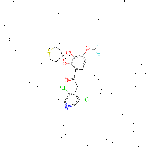 O=C(Cc1c(Cl)cncc1Cl)c1ccc(OC(F)F)c2c1OC1(CCSCC1)O2